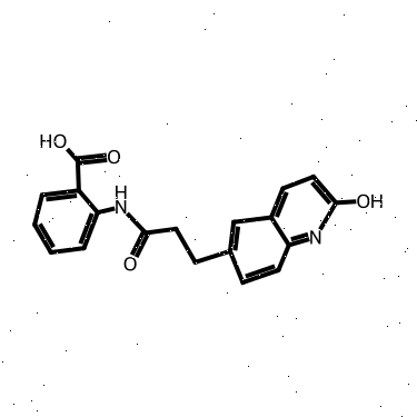 O=C(CCc1ccc2nc(O)ccc2c1)Nc1ccccc1C(=O)O